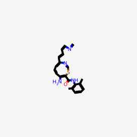 C=N/C=C\C=C\c1cccc(N)c(C(=O)Nc2c(C)cccc2C)scn1